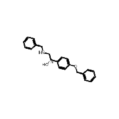 O[C@H](CNCc1ccccc1)c1ccc(OCc2ccccc2)cc1